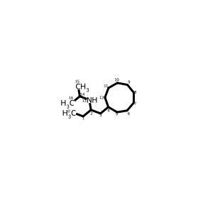 CCC(CC1CCCCCCCC1)NC(C)C